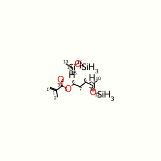 C=C(C)C(=O)OCCC[SiH](C)O[SiH3].C[SiH](C)O[SiH3]